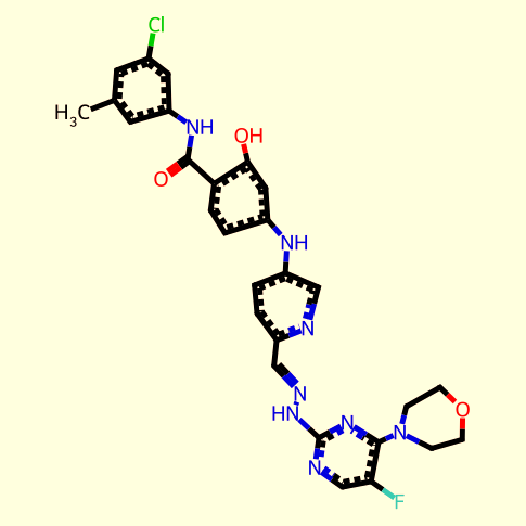 Cc1cc(Cl)cc(NC(=O)c2ccc(Nc3ccc(/C=N/Nc4ncc(F)c(N5CCOCC5)n4)nc3)cc2O)c1